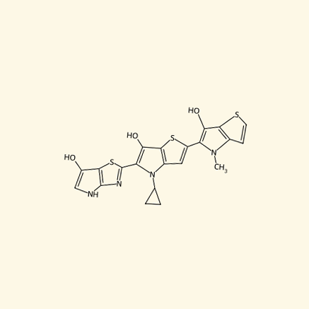 Cn1c(-c2cc3c(s2)c(O)c(-c2nc4[nH]cc(O)c4s2)n3C2CC2)c(O)c2sccc21